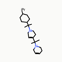 CC(C)C1CCC(C(C)(C)N2CC=C(C(C)(C)N3CC=CCC3)CC2)CC1